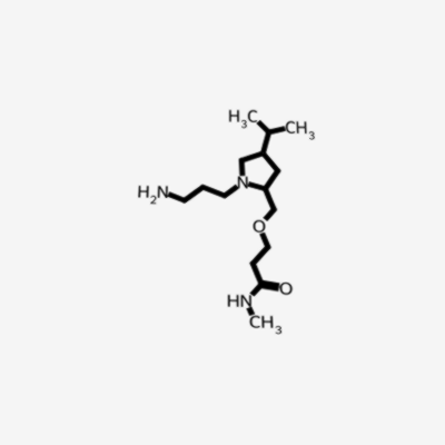 CNC(=O)CCOCC1CC(C(C)C)CN1CCCN